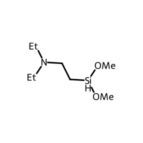 CCN(CC)CC[SiH](OC)OC